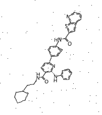 O=C(Nc1ccc(-c2ccc(C(=O)NCCC3CCCCC3)c(Nc3ccccc3)n2)cc1)c1cc2cccnc2s1